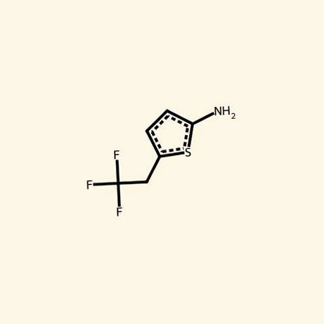 Nc1ccc(CC(F)(F)F)s1